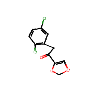 O=C(Cc1cc(Cl)ccc1Cl)C1=COCO1